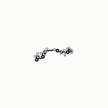 O=C(Nc1ccc([N+](=O)[O-])c(C(F)(F)F)c1)C1CSC(c2ccc(OCCCCCC(=O)N3CCN(C(=O)c4cc(Cc5n[nH]c(=O)c6ccccc56)ccc4F)CC3)cc2)=N1